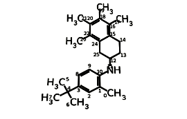 Cc1cc(C(C)(C)C)ccc1NC1CCc2c(C)c(C)c(C)c(C)c2C1